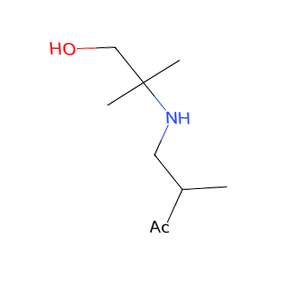 CC(=O)C(C)CNC(C)(C)CO